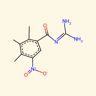 Cc1c(C(=O)N=C(N)N)cc([N+](=O)[O-])c(C)c1C